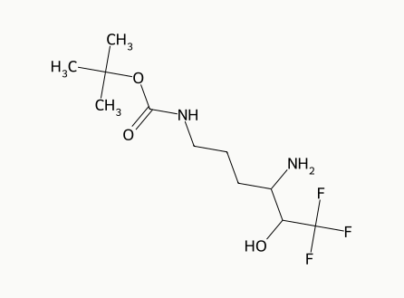 CC(C)(C)OC(=O)NCCCC(N)C(O)C(F)(F)F